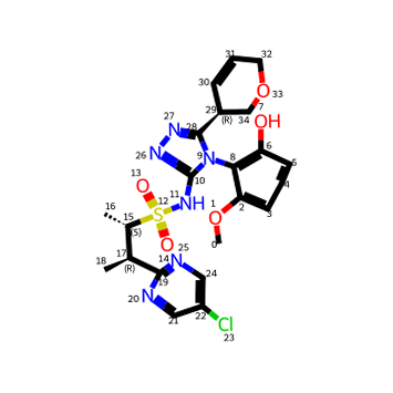 COc1cccc(O)c1-n1c(NS(=O)(=O)[C@@H](C)[C@H](C)c2ncc(Cl)cn2)nnc1[C@H]1C=CCOC1